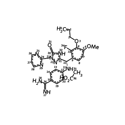 C=CCOc1c(OC)ccc([C@H](Nc2ccc(C(=N)N)cc2)c2nn(-c3ncccn3)c(=O)[nH]2)c1F.CC(=O)O